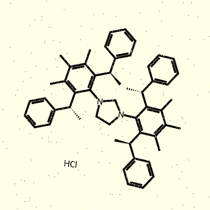 Cc1c(C)c([C@H](C)c2ccccc2)c(N2CCN(c3c([C@H](C)c4ccccc4)c(C)c(C)c(C)c3[C@H](C)c3ccccc3)C2)c([C@H](C)c2ccccc2)c1C.Cl